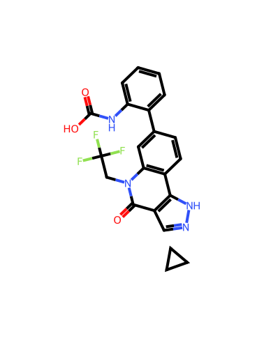 C1CC1.O=C(O)Nc1ccccc1-c1ccc2c3[nH]ncc3c(=O)n(CC(F)(F)F)c2c1